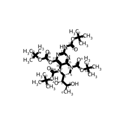 C[C@H](O)[C@H](O)[C@H]1CN(C(=O)OC(C)(C)C)c2nc(NC(=O)OC(C)(C)C)nc(OC(=O)OC(C)(C)C)c2N1C(=O)OC(C)(C)C